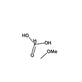 COC.O=[PH](O)O